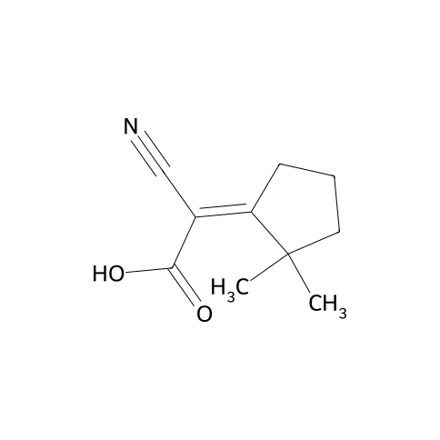 CC1(C)CCC/C1=C(\C#N)C(=O)O